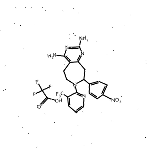 Nc1nc(N)c2c(n1)CC(c1ccc([N+](=O)[O-])cc1)N(c1ncccc1C(F)(F)F)CC2.O=C(O)C(F)(F)F